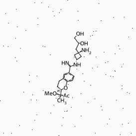 CO[C@](C)(C(C)=O)[C@H]1CCc2cc(C(=N)N[C@H]3C[C@@](N)(CC(O)CO)C3)ccc2O1